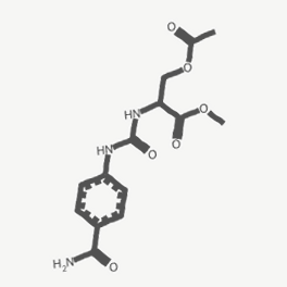 COC(=O)C(COC(C)=O)NC(=O)Nc1ccc(C(N)=O)cc1